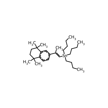 CCC[CH2][Sn](/[CH]=C(\C)c1ccc2c(c1)C(C)(C)CCC2(C)C)([CH2]CCC)[CH2]CCC